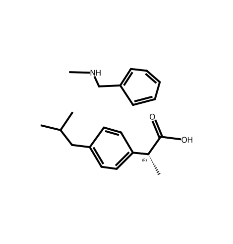 CC(C)Cc1ccc([C@@H](C)C(=O)O)cc1.CNCc1ccccc1